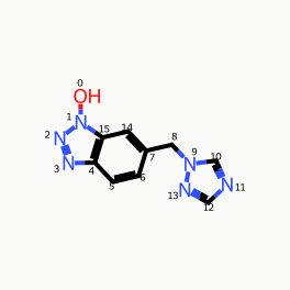 On1nnc2ccc(Cn3cncn3)cc21